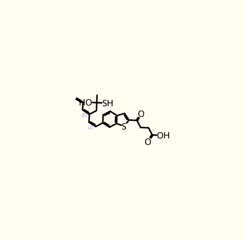 C=C/C=C(/C=C\c1ccc2cc(C(=O)CCC(=O)O)sc2c1)CC(C)(O)S